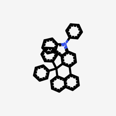 c1ccc(-n2c3ccccc3c3c4c(ccc32)-c2cccc3cccc(c23)C4(c2ccccc2)c2ccccc2)cc1